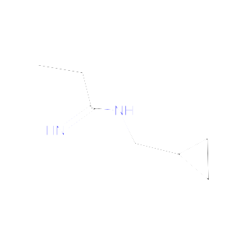 CCC(=N)NCC1CC1